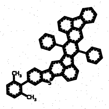 Cc1cccc(C)c1-c1ccc2c(c1)sc1c2cc2c3c(-c4ccccc4)c4c(cc5c6ccccc6c6cccc4c65)c(-c4ccccc4)c3c3cccc1c32